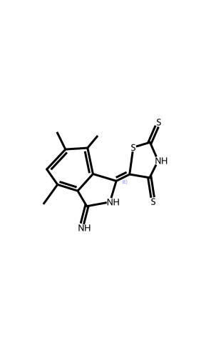 Cc1cc(C)c2c(c1C)/C(=C1\SC(=S)NC1=S)NC2=N